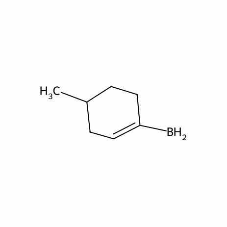 BC1=CCC(C)CC1